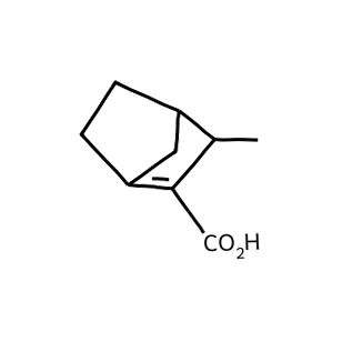 CC1C(C(=O)O)=C2CCC1C2